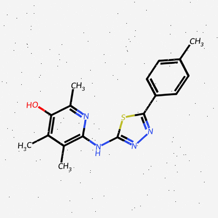 Cc1ccc(-c2nnc(Nc3nc(C)c(O)c(C)c3C)s2)cc1